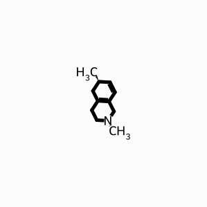 C[C@@H]1C=CC2=C(CCN(C)C2)C1